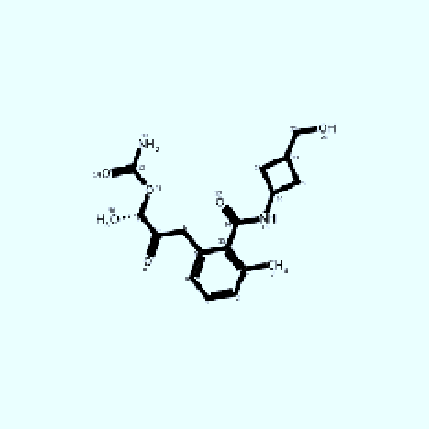 Cc1cccc(CC(=O)[C@H](C)OC(N)=O)c1C(=O)NC1CC(CO)C1